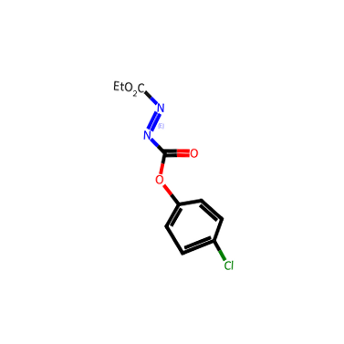 CCOC(=O)/N=N/C(=O)Oc1ccc(Cl)cc1